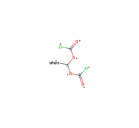 CCCCCC(OC(=O)Cl)OC(=O)Cl